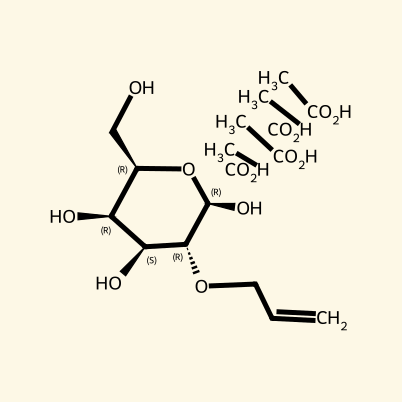 C=CCO[C@@H]1[C@@H](O)[C@@H](O)[C@@H](CO)O[C@H]1O.CC(=O)O.CC(=O)O.CC(=O)O.CC(=O)O